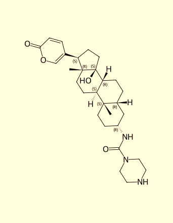 C[C@]12CC[C@@H](NC(=O)N3CCNCC3)C[C@H]1CC[C@@H]1[C@@H]2CC[C@]2(C)[C@@H](c3ccc(=O)oc3)CC[C@]12O